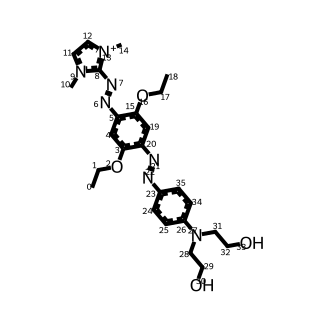 CCOc1cc(/N=N/c2n(C)cc[n+]2C)c(OCC)cc1/N=N/c1ccc(N(CCO)CCO)cc1